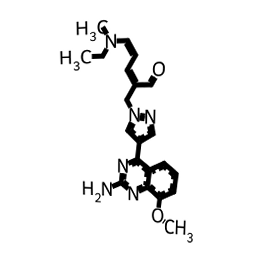 CCN(C)/C=C\C=C(/C=O)Cn1cc(-c2nc(N)nc3c(OC)cccc23)cn1